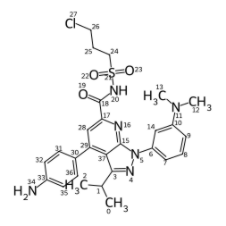 CC(C)c1nn(-c2cccc(N(C)C)c2)c2nc(C(=O)NS(=O)(=O)CCCCl)cc(-c3ccc(N)cc3)c12